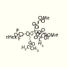 C=C(C)C(=O)OCCCc1cc(-c2cc(F)c(OCCCCCC)c(F)c2)ccc1OCC(COC(=O)/C=C/C(=O)OC)(COC(=O)/C=C/C(=O)OC)COC(=O)C(=C)C